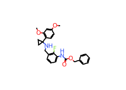 COc1ccc(C2(NCc3cccc(NC(=O)OCc4ccccc4)c3F)CC2)c(OC)c1